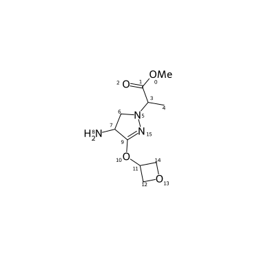 COC(=O)C(C)N1CC(N)C(OC2COC2)=N1